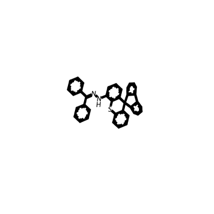 c1ccc(C(=NNc2cccc3c2Sc2ccccc2C32c3ccccc3-c3ccccc32)c2ccccc2)cc1